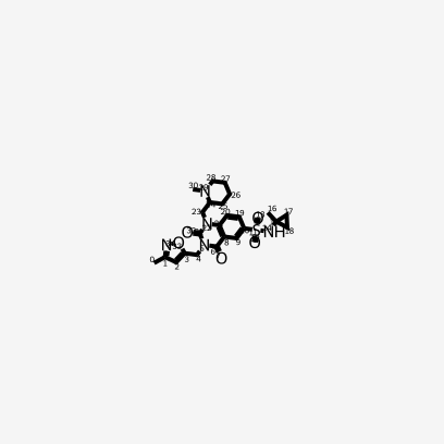 Cc1cc(Cn2c(=O)c3cc(S(=O)(=O)NC4(C)CC4)ccc3n(CC3CCCCN3C)c2=O)on1